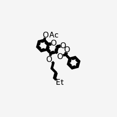 CC/C=C/CCOc1c(OC(=O)c2ccccc2)c(=O)oc2c(OC(C)=O)cccc12